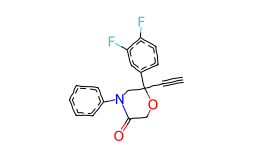 C#CC1(c2ccc(F)c(F)c2)CN(c2ccccc2)C(=O)CO1